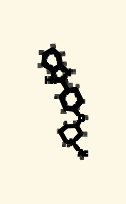 CC(=O)N1CCCC(Oc2ccc(-c3nc4ccccc4[nH]3)cc2)C1